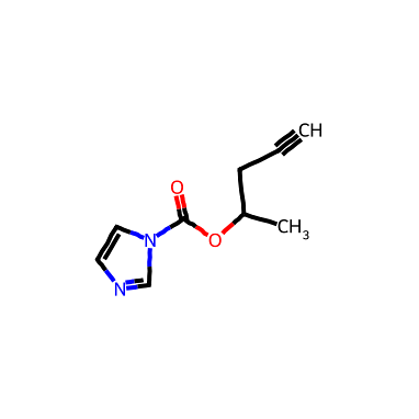 C#CCC(C)OC(=O)n1ccnc1